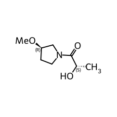 CO[C@@H]1CCN(C(=O)[C@H](C)O)C1